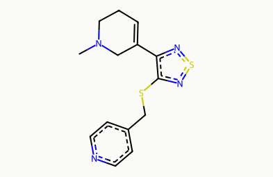 CN1CCC=C(c2nsnc2SCc2ccncc2)C1